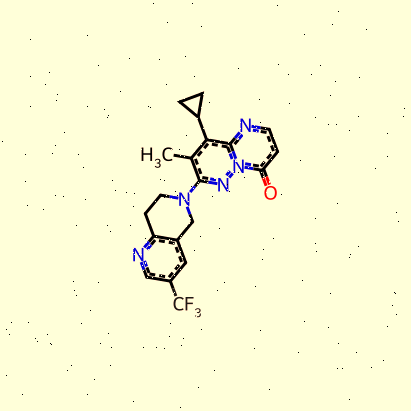 Cc1c(N2CCc3ncc(C(F)(F)F)cc3C2)nn2c(=O)ccnc2c1C1CC1